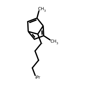 CC1=CC2=CC(C)=C1C2[CH]CCCC(C)C